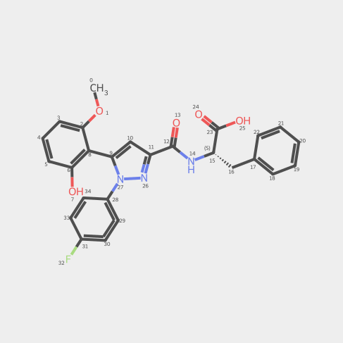 COc1cccc(O)c1-c1cc(C(=O)N[C@@H](Cc2ccccc2)C(=O)O)nn1C1=C=C=C(F)C=C1